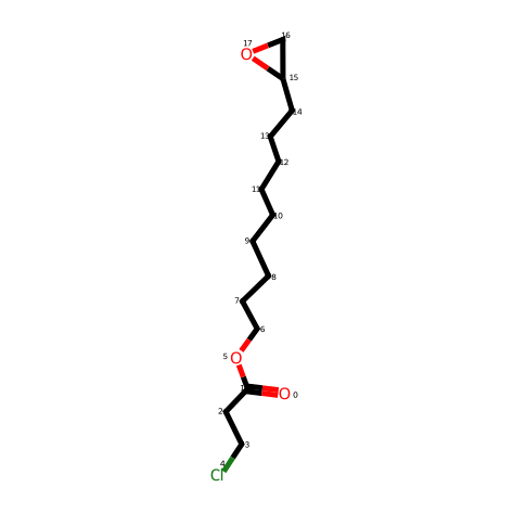 O=C(CCCl)OCCCCCCCCCC1CO1